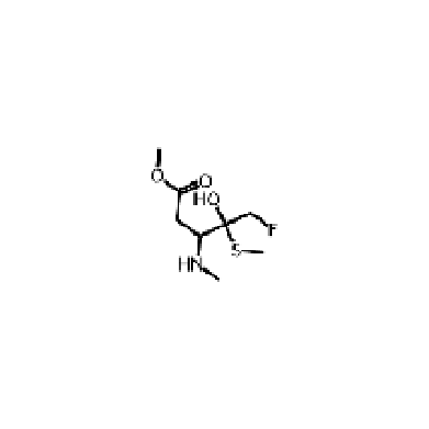 CNC(CC(=O)OC)C(O)(CF)SC